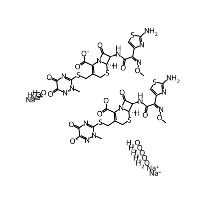 CO/N=C(\C(=O)N[C@@H]1C(=O)N2C(C(=O)[O-])=C(CSc3nc(=O)c(=O)[n-]n3C)CS[C@H]12)c1csc(N)n1.CO/N=C(\C(=O)N[C@@H]1C(=O)N2C(C(=O)[O-])=C(CSc3nc(=O)c([O-])nn3C)CS[C@H]12)c1csc(N)n1.O.O.O.O.O.O.O.[Na+].[Na+].[Na+].[Na+]